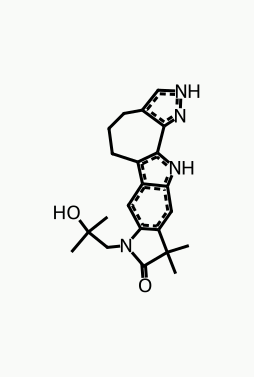 CC(C)(O)CN1C(=O)C(C)(C)c2cc3[nH]c4c(c3cc21)CCCc1c[nH]nc1-4